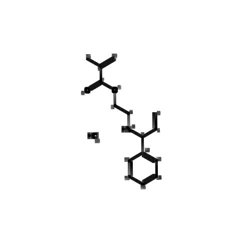 C=CC(NCCOC(=O)C(=C)C)c1ccccc1.Cl